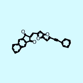 O=C1C(=Cc2cc3oc(C#Cc4ccccc4)cc3o2)C(=O)c2cc3ccccc3cc21